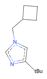 CC(C)(C)c1cn(CC2CCC2)cn1